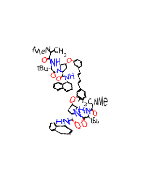 CN[C@@H](C)C(=O)N[C@H](C(=O)N1C[C@@H](Oc2cccc(CCCCc3cccc(O[C@H]4C[C@@H](C(=O)N[C@@H]5CCCc6ccccc65)N(C(=O)[C@@H](NC(=O)[C@H](C)NC)C(C)(C)C)C4)c3)c2)C[C@H]1C(=O)N[C@@H]1CCCc2ccccc21)C(C)(C)C